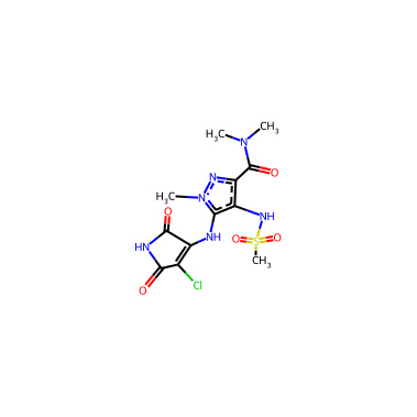 CN(C)C(=O)c1nn(C)c(NC2=C(Cl)C(=O)NC2=O)c1NS(C)(=O)=O